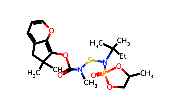 CCC(C)(C)N(SN(C)C(=O)OC1=C2OC=CC=C2CC1(C)C)P1(=O)OCC(C)O1